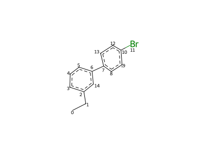 CCc1cccc(-c2c[c]c(Br)cc2)c1